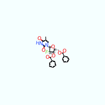 Cc1cn([C@@H]2O[C@H](COC(=O)c3ccccc3)[C@@H](OC(=O)c3ccccc3)[C@H]2F)c(=O)[nH]c1=O